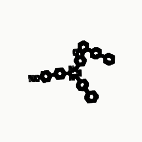 N#Cc1ccc(-c2ccc(-c3nc(-c4ccc(-c5ccccc5)cc4)nc(-c4ccc5c(c4)oc4cccc(-c6ccc(-c7ccccc7)cc6)c45)n3)cc2)cc1